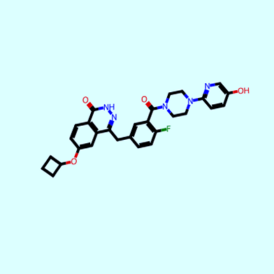 O=C(c1cc(Cc2n[nH]c(=O)c3ccc(OC4CCC4)cc23)ccc1F)N1CCN(c2ccc(O)cn2)CC1